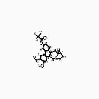 COc1cc2c3c(c4ccc(OC(=O)C(C)(C)C)cc4c2cc1OC)C[C@@H]1CCCN1C3